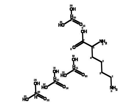 NCCCCC(N)C(=O)O.O=[PH](O)O.O=[PH](O)O.O=[PH](O)O.O=[PH](O)O